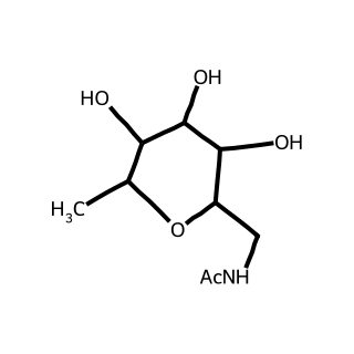 CC(=O)NCC1OC(C)C(O)C(O)C1O